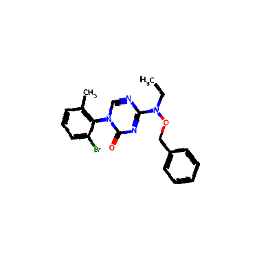 CCN(OCc1ccccc1)c1ncn(-c2c(C)cccc2Br)c(=O)n1